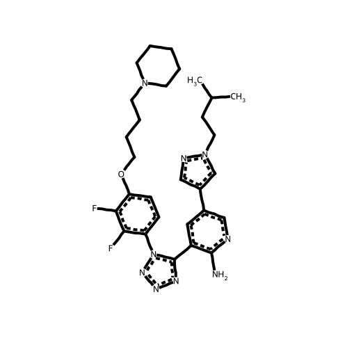 CC(C)CCn1cc(-c2cnc(N)c(-c3nnnn3-c3ccc(OCCCCN4CCCCC4)c(F)c3F)c2)cn1